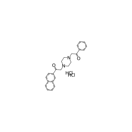 Cl.Cl.O=C(CN1CCN(CC(=O)c2ccc3ccccc3c2)CC1)c1ccccc1